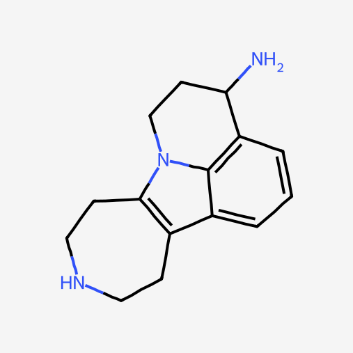 NC1CCn2c3c(c4cccc1c42)CCNCC3